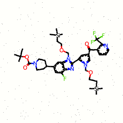 CC(C)(C)OC(=O)N1CCC(c2cc(F)c3nc(-c4cc(C(=O)c5cccnc5C(F)(F)F)cn4COCC[Si](C)(C)C)n(COCC[Si](C)(C)C)c3c2)CC1